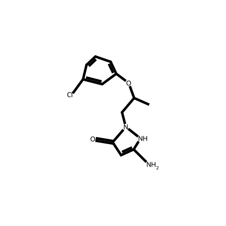 CC(Cn1[nH]c(N)cc1=O)Oc1cccc(Cl)c1